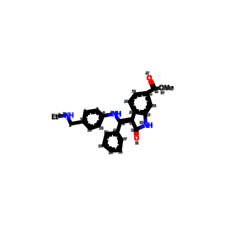 CCNCc1ccc(N/C(=C2/C(=O)Nc3cc(C(=O)OC)ccc32)c2ccccc2)cc1